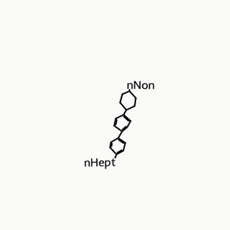 CCCCCCCCCC1CCC(c2ccc(-c3ccc(CCCCCCC)cc3)cc2)CC1